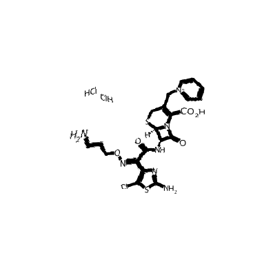 Cl.Cl.NCCCO/N=C(\C(=O)N[C@@H]1C(=O)N2C(C(=O)O)=C(C[n+]3ccccc3)CS[C@H]12)c1nc(N)sc1Cl